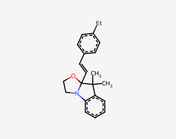 CCc1ccc(C=CC23OCCN2c2ccccc2C3(C)C)cc1